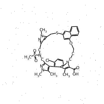 Cc1c(C(=O)O)n2c3ccc(Cl)c(c13)-c1c(nn(C)c1C)CN(S(C)(=O)=O)Cc1cc(n(C)n1)CSc1cc(c3ccccc3c1)OCCC2